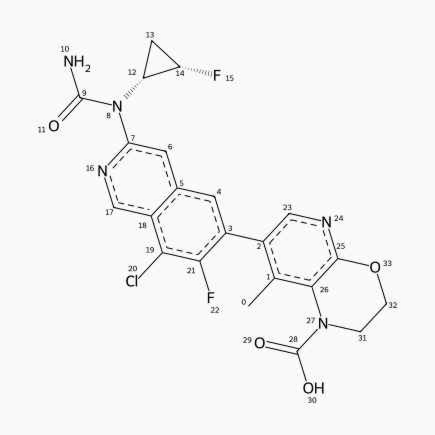 Cc1c(-c2cc3cc(N(C(N)=O)[C@@H]4C[C@@H]4F)ncc3c(Cl)c2F)cnc2c1N(C(=O)O)CCO2